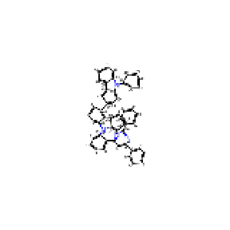 c1ccc(-c2cc(-c3ccccc3-n3c4ccccc4c4c(-c5ccc6c(c5)c5ccccc5n6-c5ccccc5)cccc43)nc(-c3ccccc3)n2)cc1